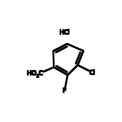 Cl.O=C(O)c1cccc(Cl)c1F